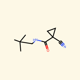 CC(C)(C)CNC(=O)C1(C#N)CC1